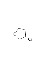 C1CCOC1.[C]